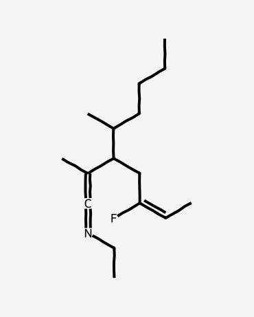 C/C=C(/F)CC(C(C)=C=NCC)C(C)CCCC